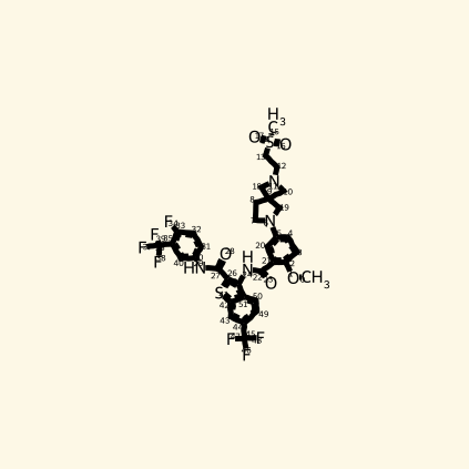 COc1ccc(N2CCC3(CN(CCS(C)(=O)=O)C3)C2)cc1C(=O)Nc1c(C(=O)Nc2ccc(F)c(C(F)(F)F)c2)sc2cc(C(F)(F)F)ccc12